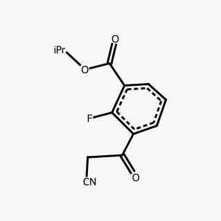 CC(C)OC(=O)c1cccc(C(=O)CC#N)c1F